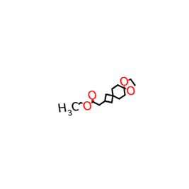 CCOC(=O)CC1CC2(CCC3(CC2)OCCO3)C1